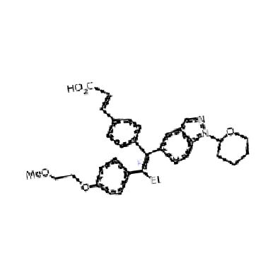 CC/C(=C(/c1ccc(C=CC(=O)O)cc1)c1ccc2c(cnn2C2CCCCO2)c1)c1ccc(OCCOC)cc1